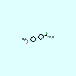 C[S+]([O-])c1ccc(-c2ccc(C(Cl)C(=O)O)cc2)cc1